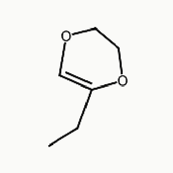 CCC1=COCCO1